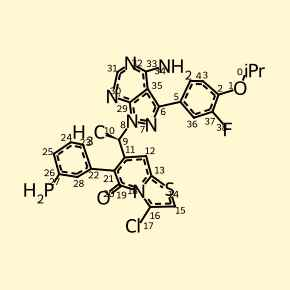 CC(C)Oc1ccc(-c2nn([C@H](C)c3cc4scc(Cl)n4c(=O)c3-c3cccc(P)c3)c3ncnc(N)c23)cc1F